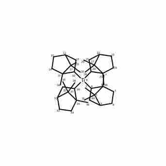 CC1(C)C2CCC1(C)[CH]([Ti]([CH]1CC3CCC1(C)C3(C)C)([CH]1CC3CCC1(C)C3(C)C)[CH]1CC3CCC1(C)C3(C)C)C2